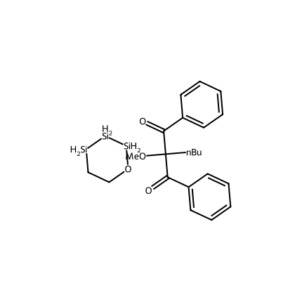 C1C[SiH2][SiH2][SiH2]O1.CCCCC(OC)(C(=O)c1ccccc1)C(=O)c1ccccc1